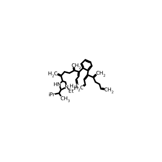 C=C/C=C(\C(=C)CCC=C)c1ccccc1/C(=C/C=C)C(=C)CCC(=C)C1CN(CC)C(C(C)C(C)C)N1